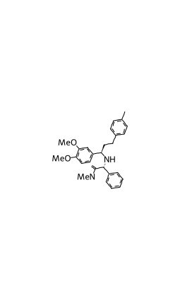 C=C(NC)[C@H](N[C@H](CCc1ccc(C)cc1)c1ccc(OC)c(OC)c1)c1ccccc1